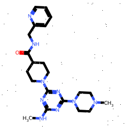 CNc1nc(N2CCC(C(=O)NCc3ccccn3)CC2)nc(N2CCN(C)CC2)n1